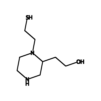 OCCC1CNCCN1CCS